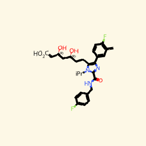 Cc1cc(-c2nc(C(=O)NCc3ccc(F)cc3)n(C(C)C)c2CC[C@@H](O)C[C@@H](O)CC(=O)O)ccc1F